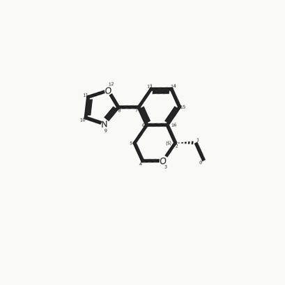 CC[C@@H]1OCCc2c(-c3ncco3)cccc21